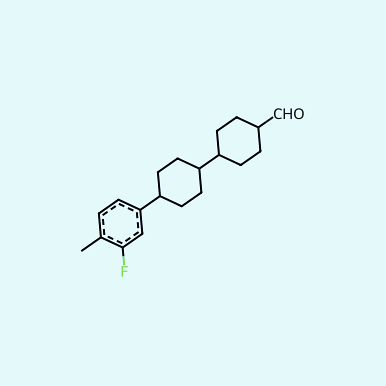 Cc1ccc(C2CCC(C3CCC(C=O)CC3)CC2)cc1F